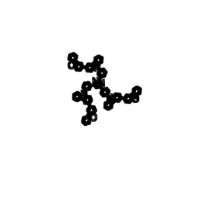 c1cc(-c2cc(-c3ccc(-n4c5ccccc5c5cc(-c6ccc7oc8ccccc8c7c6)ccc54)cc3)nc(-c3cccc(-n4c5ccccc5c5cc(-c6ccc7oc8ccccc8c7c6)ccc54)c3)n2)cc(-n2c3ccccc3c3cc(-c4ccc5oc6ccccc6c5c4)ccc32)c1